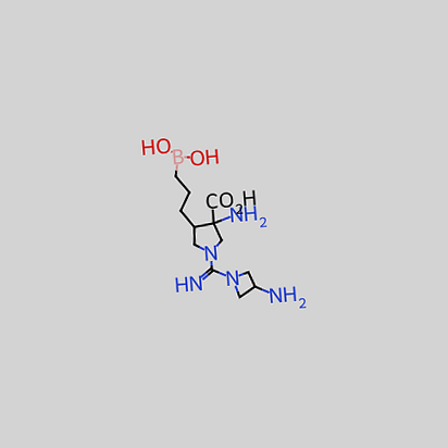 N=C(N1CC(N)C1)N1CC(CCCB(O)O)C(N)(C(=O)O)C1